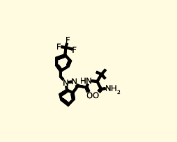 CC(C)(C)C(NC(=O)c1nn(Cc2ccc(C(F)(F)F)cc2)c2ccccc12)C(N)=O